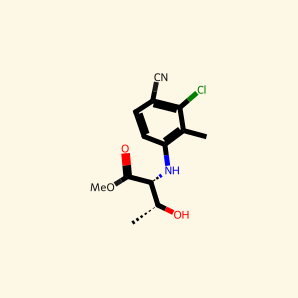 COC(=O)[C@H](Nc1ccc(C#N)c(Cl)c1C)[C@@H](C)O